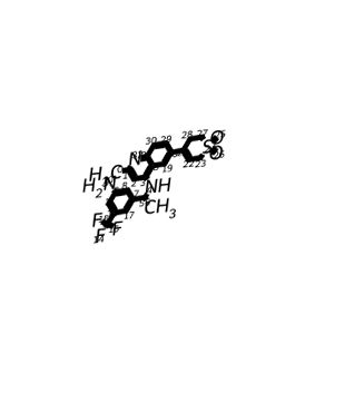 Cc1cc(NC(C)c2cc(N)cc(C(F)(F)F)c2)c2cc(C3=CCS(=O)(=O)CC3)ccc2n1